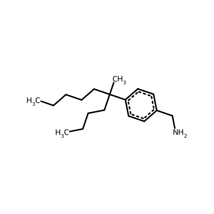 CCCCCC(C)(CCCC)c1ccc(CN)cc1